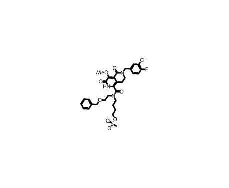 COc1c2c(c(C(=O)N(CCCCOS(C)(=O)=O)CCOCc3ccccc3)[nH]c1=O)CCN(Cc1ccc(F)c(Cl)c1)C2=O